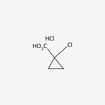 Cl.O=C(O)C1(Cl)CC1